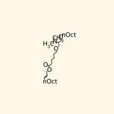 CCCCCCCCC=CCOC(=O)CCCCCOCC(COCCCCCCCC)N(C)C